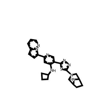 c1cnn2c(-c3cc(NC4CCC4)c(-c4nnc(N5CC6CCC(C5)N6)s4)cn3)ccc2c1